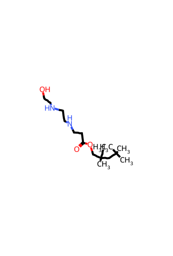 CC(C)(C)CC(C)(C)COC(=O)CCNCCNCCO